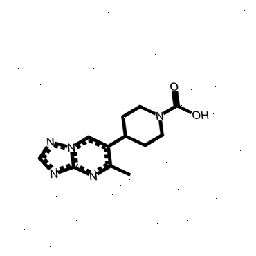 Cc1nc2ncnn2cc1C1CCN(C(=O)O)CC1